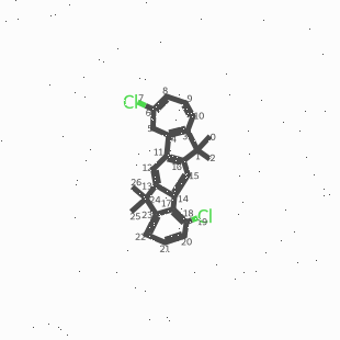 CC1(C)C2=C(CC(Cl)=CC=C2)c2cc3c(cc21)-c1c(Cl)cccc1C3(C)C